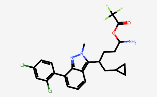 Cn1nc2c(-c3ccc(Cl)cc3Cl)cccc2c1C(CCC(N)OC(=O)C(F)(F)F)CC1CC1